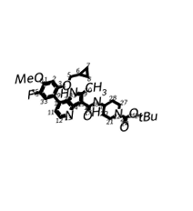 COc1cc(OCC2CC2)c(-c2ccnc3c(C(=O)NC4CCN(C(=O)OC(C)(C)C)CC4)c(C)[nH]c23)cc1F